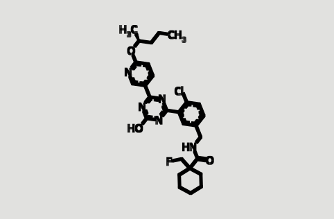 CCC[C@H](C)Oc1ccc(-c2nc(O)nc(-c3cc(CNC(=O)C4(CF)CCCCC4)ccc3Cl)n2)cn1